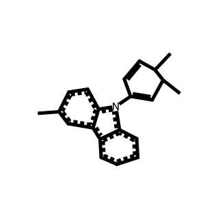 Cc1ccc2c(c1)c1ccccc1n2C1=CC(C)C(C)C=C1